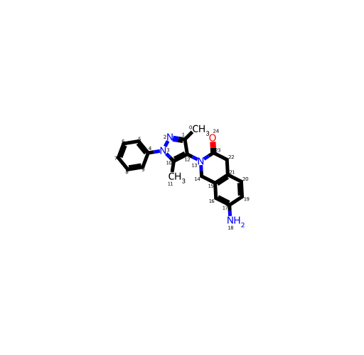 Cc1nn(-c2ccccc2)c(C)c1N1Cc2cc(N)ccc2CC1=O